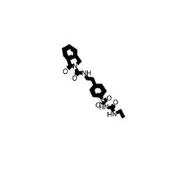 CCNC(=O)NS(=O)(=O)c1ccc(CCNC(=O)N2Cc3ccccc3C2=O)cc1